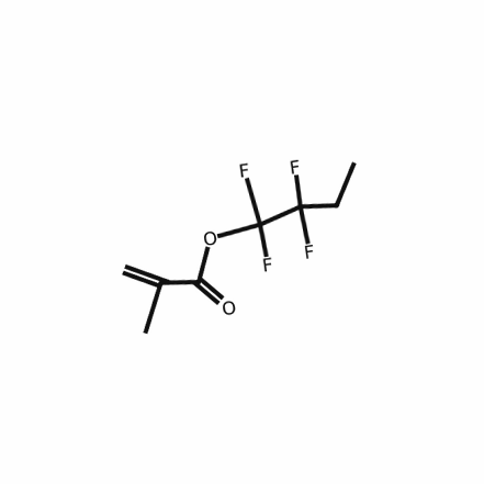 C=C(C)C(=O)OC(F)(F)C(F)(F)CC